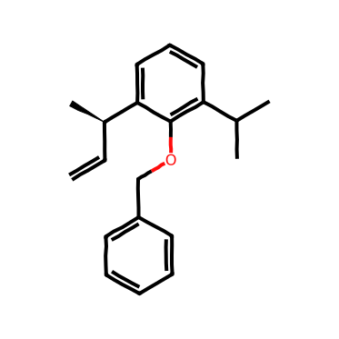 C=C[C@@H](C)c1cccc(C(C)C)c1OCc1ccccc1